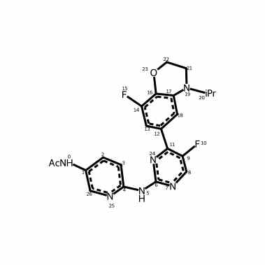 CC(=O)Nc1ccc(Nc2ncc(F)c(-c3cc(F)c4c(c3)N(C(C)C)CCO4)n2)nc1